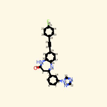 O=C1CC(c2cccc(-n3cncn3)c2)=Nc2ccc(C#Cc3ccc(F)cc3)cc2N1